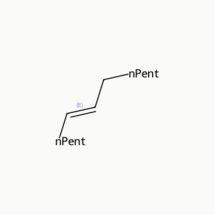 CCCCC/C=C/CCCCCC